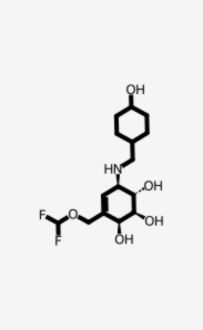 OC1CCC(CN[C@@H]2C=C(COC(F)F)[C@H](O)[C@H](O)[C@H]2O)CC1